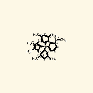 CC1=C(C)C(C)C([Si](c2cc(C)cc(C)c2)(c2cc(C)cc(C)c2)c2cccc(N(C)C)c2)=C1C